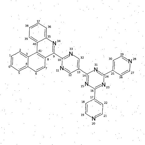 c1ccc2c(c1)ccc1c(-c3ncc(-c4nc(-c5ccncc5)nc(-c5ccncc5)n4)cn3)nc3ccccc3c12